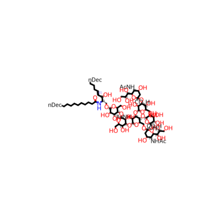 CCCCCCCCCCCCC/C=C/[C@@H](O)[C@H](CO[C@@H]1OC(CO)[C@@H](O[C@@H]2OC(CO)[C@H](O)[C@H](O[C@@H]3OC(CO[C@]4(C(=O)O)CC(O)[C@@H](NC(C)=O)C([C@H](O)[C@H](O)CO)O4)[C@@H](O[C@H]4OC(C)[C@@H](O)C(O)[C@@H]4O)[C@H](O[C@@H]4OC(CO)[C@H](O)[C@H](O[C@]5(C(=O)O)CC(O)[C@@H](NC(C)=O)C([C@H](O)[C@H](O)CO)O5)C4O)C3NC(C)=O)C2O)[C@H](O)C1O)NC(=O)CCCCCCCCCCCCCCCCCCC